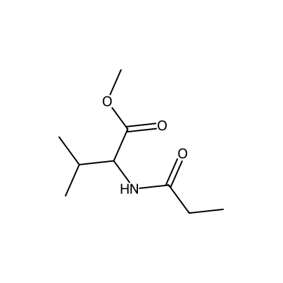 CCC(=O)NC(C(=O)OC)C(C)C